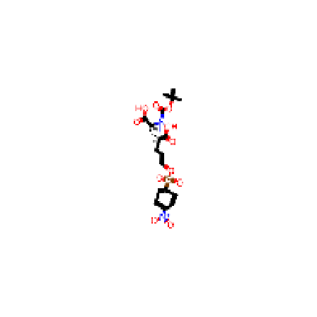 CC(C)(C)OC(=O)N[C@H](C[C@@H](CCCOS(=O)(=O)c1ccc([N+](=O)[O-])cc1)C(=O)O)C(=O)O